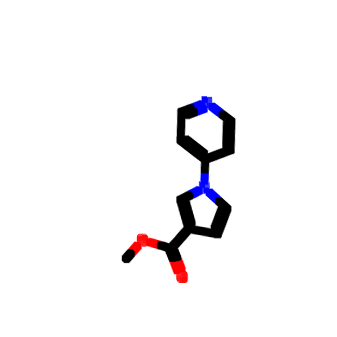 COC(=O)c1ccn(-c2ccncc2)c1